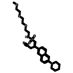 COCCOCCOCCNS(=O)(=O)/C=C(\CC#N)c1ccc2cc(N3CCCCC3)ccc2c1